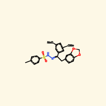 COc1cc(OC)cc(/C(Cc2ccc3c(c2)OCO3)=N\NS(=O)(=O)c2ccc(C)cc2)c1